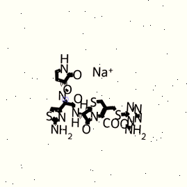 Nc1nc(/C(=N/O[C@@H]2CCNC2=O)C(=O)N[C@@H]2C(=O)N3C(C(=O)[O-])=C(CSc4nnnn4N)CS[C@@H]23)cs1.[Na+]